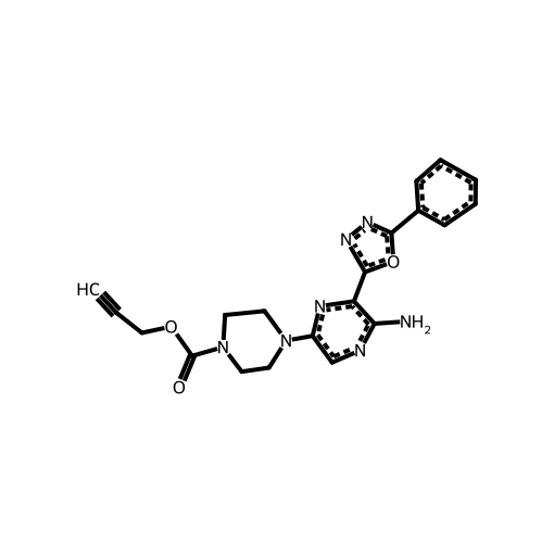 C#CCOC(=O)N1CCN(c2cnc(N)c(-c3nnc(-c4ccccc4)o3)n2)CC1